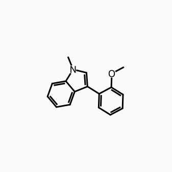 COc1ccccc1-c1cn(C)c2ccccc12